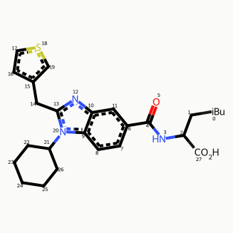 CCC(C)CC(NC(=O)c1ccc2c(c1)nc(Cc1ccsc1)n2C1CCCCC1)C(=O)O